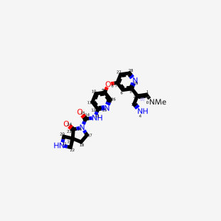 CN/C=C(\C=N)c1cc(Oc2ccc(NC(=O)N3CCC4(CNC4)C3=O)nc2)ccn1